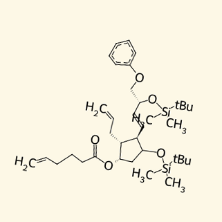 C=CCCCC(=O)O[C@H]1CC(O[Si](C)(C)C(C)(C)C)[C@H](/C=C/[C@H](COc2ccccc2)O[Si](C)(C)C(C)(C)C)[C@H]1CC=C